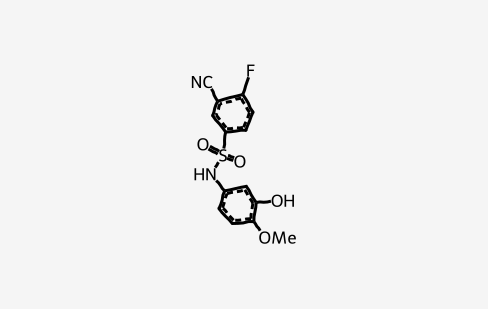 COc1ccc(NS(=O)(=O)c2ccc(F)c(C#N)c2)cc1O